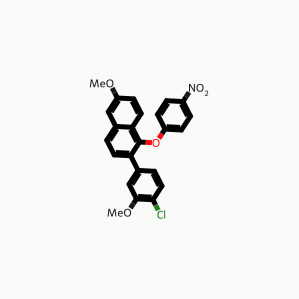 COc1ccc2c(Oc3ccc([N+](=O)[O-])cc3)c(-c3ccc(Cl)c(OC)c3)ccc2c1